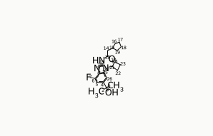 CC(C)(O)c1cc(F)c2nc(NC(=O)CC3CCCC3)n(C3CCC3)c2c1